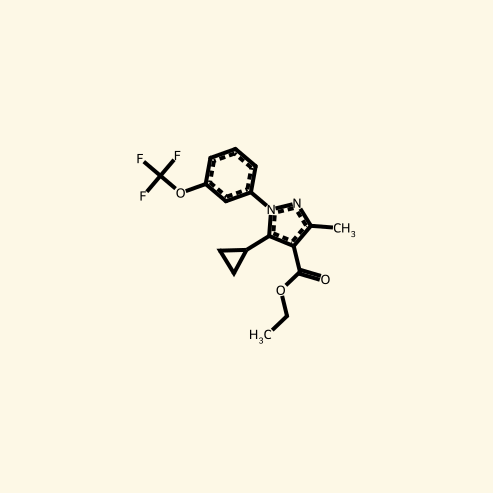 CCOC(=O)c1c(C)nn(-c2cccc(OC(F)(F)F)c2)c1C1CC1